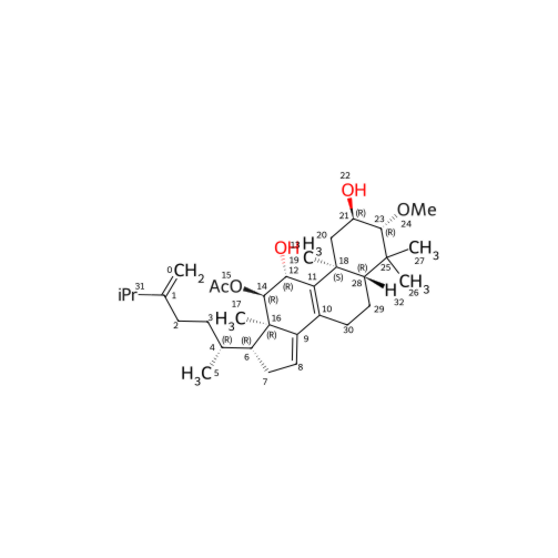 C=C(CC[C@@H](C)[C@H]1CC=C2C3=C([C@@H](O)[C@H](OC(C)=O)[C@@]21C)[C@@]1(C)C[C@@H](O)[C@H](OC)C(C)(C)[C@@H]1CC3)C(C)C